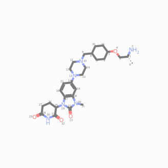 C[C@@H](N)COC1CCC(CN2CCN(c3ccc4c(c3)n(C)c(=O)n4C3CCC(=O)NC3=O)CC2)CC1